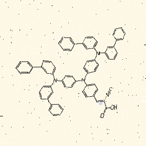 [C-]#[N+]/C(=C\c1ccc(N(c2ccc(N(c3cccc(-c4ccccc4)c3)c3cccc(-c4ccccc4)c3)cc2)c2ccc(N(c3cccc(-c4ccccc4)c3)c3cccc(-c4ccccc4)c3)cc2)cc1)C(=O)O